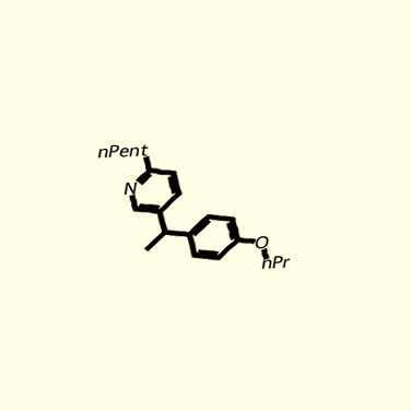 CCCCCc1ccc(C(C)c2ccc(OCCC)cc2)cn1